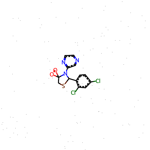 Clc1ccc(C2SCC3(OO3)N2c2cnccn2)c(Cl)c1